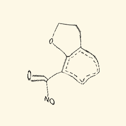 O=NC(=O)c1cccc2c1OCC2